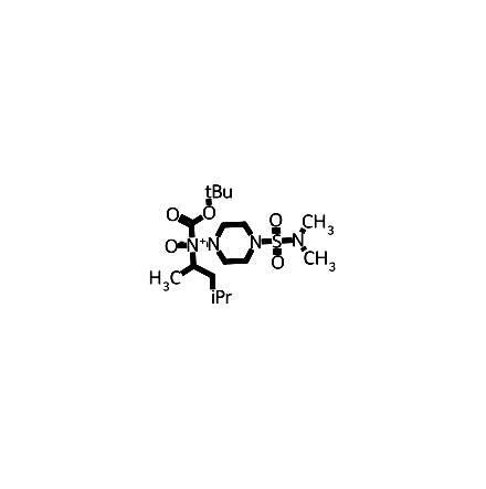 CC(C)CC(C)[N+]([O-])(C(=O)OC(C)(C)C)N1CCN(S(=O)(=O)N(C)C)CC1